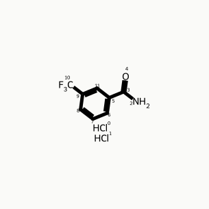 Cl.Cl.NC(=O)c1cccc(C(F)(F)F)c1